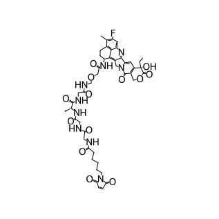 CC[C@@]1(O)C(=O)OCc2c1cc1n(c2=O)Cc2c-1nc1cc(F)c(C)c3c1c2[C@@H](NC(=O)COCNC(=O)CNC(=O)[C@H](C)NC(=O)CNC(=O)CNC(=O)CCCCCN1C(=O)C=CC1=O)CC3